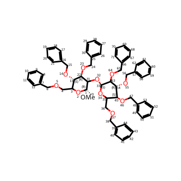 CO[C@@H]1OC(COCc2ccccc2)[C@H](OCc2ccccc2)[C@@H](OCc2ccccc2)C1O[C@@H]1OC(COCc2ccccc2)[C@H](OCc2ccccc2)[C@@H](OCc2ccccc2)C1OCc1ccccc1